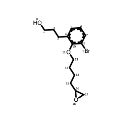 OCCCc1cccc(Br)c1OCCCCC1CO1